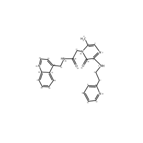 Cc1cnc(NCCc2ccccn2)c(=O)n1CC(=O)NCc1ccnc2ccccc12